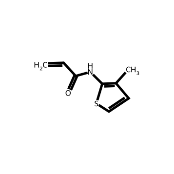 C=CC(=O)Nc1sccc1C